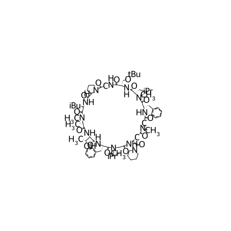 CC[C@H](C)[C@@H]1NC(=O)[C@@H]2CCCN2C(=O)CNC(=O)[C@H](COC(C)(C)C)NC(=O)[C@H](CC(C)C)N(C)C(=O)[C@H](Cc2ccccc2)NC(=O)CN(C)C(=O)C[C@@H](C(=O)N2CCCCC2)NC(=O)[C@H](CC(C)C)N(C)C(=O)[C@H](Cc2ccccc2)NC(=O)[C@H]([C@@H](C)O)NC(=O)[C@H](C)N(C)C1=O